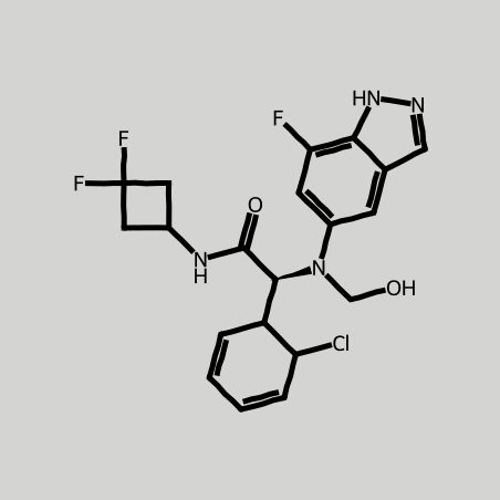 O=C(NC1CC(F)(F)C1)[C@H](C1C=CC=CC1Cl)N(CO)c1cc(F)c2[nH]ncc2c1